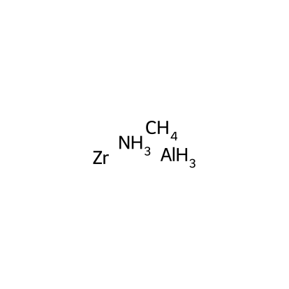 C.N.[AlH3].[Zr]